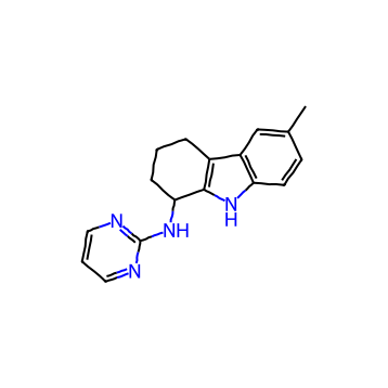 Cc1ccc2[nH]c3c(c2c1)CCCC3Nc1ncccn1